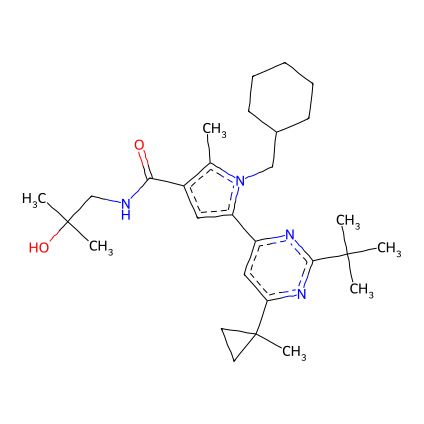 Cc1c(C(=O)NCC(C)(C)O)cc(-c2cc(C3(C)CC3)nc(C(C)(C)C)n2)n1CC1CCCCC1